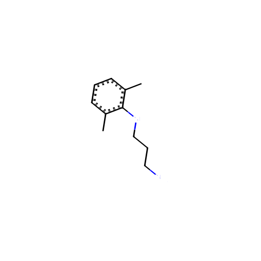 Cc1cccc(C)c1NCCCN